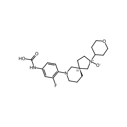 O=C(O)Nc1ccc(N2CCC[C@]3(CC[N+]([O-])(C4CCOCC4)C3)C2)c(F)c1